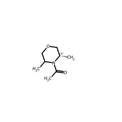 CC(=O)N1C(C)COC[C@@H]1C